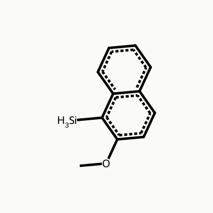 COc1ccc2ccccc2c1[SiH3]